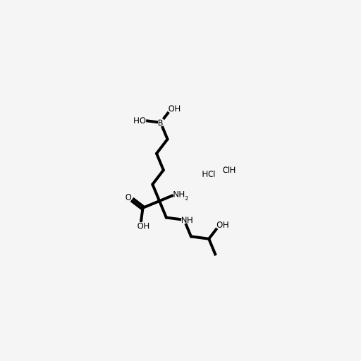 CC(O)CNCC(N)(CCCCB(O)O)C(=O)O.Cl.Cl